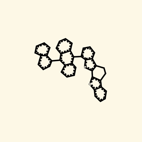 c1ccc2c(-c3c4ccccc4c(-c4cccc5c6c(sc45)-c4oc5ccccc5c4CC6)c4ccccc34)cccc2c1